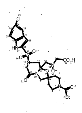 CCC(=O)N1CCC2(CC1)CN1C(=O)CN(S(=O)(=O)c3cc4cc(Cl)ccc4[nH]3)CC1(CN(C)CC(=O)O)O2